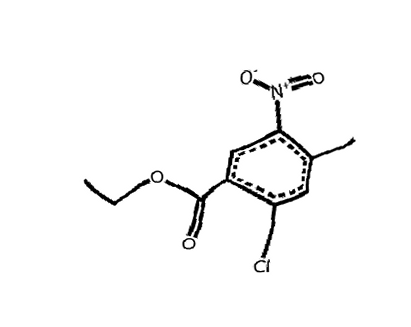 CCOC(=O)c1cc([N+](=O)[O-])c(C)cc1Cl